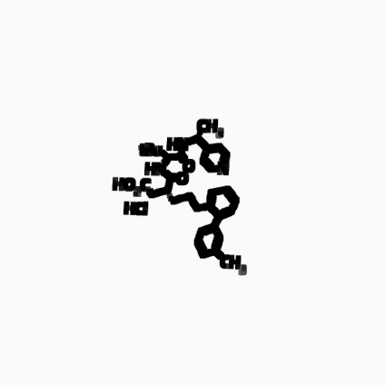 Cc1cccc(-c2ccccc2CCC[C@H](CC(=O)O)C(=O)N[C@H](C(=O)N[C@H](C)c2ccncc2)C(C)(C)C)c1.Cl